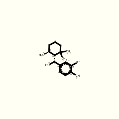 C[C@H]1CCCC(C)(C)[C@@H]1C(O)c1ccc(C#N)c(F)c1